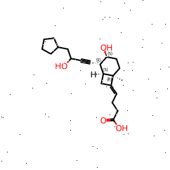 C[C@@]12CC[C@H](O)[C@@H](C#CC(O)CC3CCCC3)[C@@H]1CC2=CCCC(=O)O